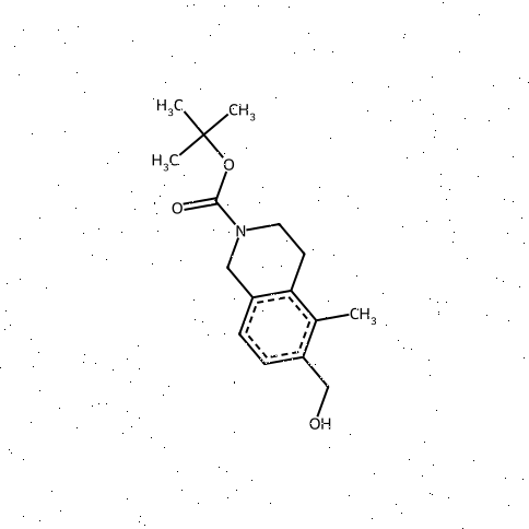 Cc1c(CO)ccc2c1CCN(C(=O)OC(C)(C)C)C2